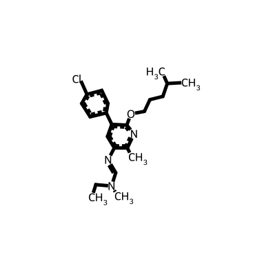 CCN(C)/C=N/c1cc(-c2ccc(Cl)cc2)c(OCCCC(C)C)nc1C